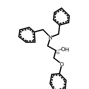 O[C@H](COc1ccccc1)CN(Cc1ccccc1)Cc1ccccc1